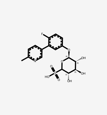 Cc1ccc(-c2cc(O[C@@H]3OC(S(=O)(=O)O)[C@@H](O)[C@H](O)[C@H]3O)ccc2F)cn1